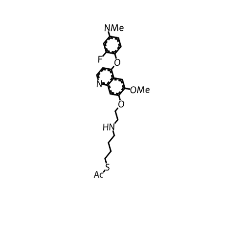 CNc1ccc(Oc2ccnc3cc(OCCNCCCCSC(C)=O)c(OC)cc23)c(F)c1